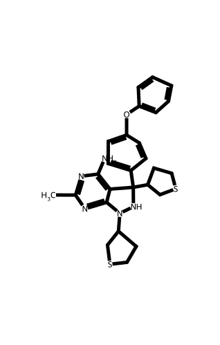 Cc1nc(N)c2c(n1)N(C1CCSC1)NC2(c1ccc(Oc2ccccc2)cc1)C1CCSC1